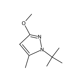 COc1cc(C)n(C(C)(C)C)n1